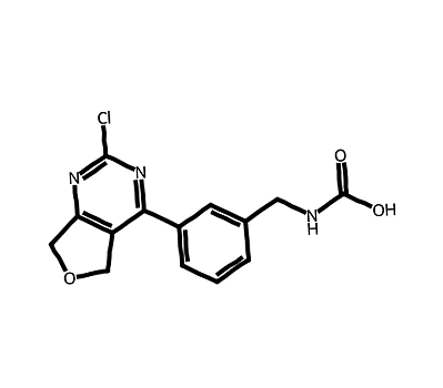 O=C(O)NCc1cccc(-c2nc(Cl)nc3c2COC3)c1